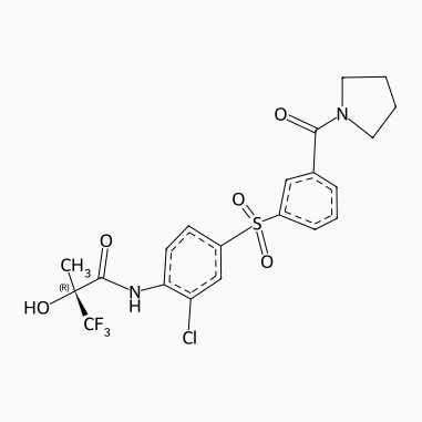 C[C@@](O)(C(=O)Nc1ccc(S(=O)(=O)c2cccc(C(=O)N3CCCC3)c2)cc1Cl)C(F)(F)F